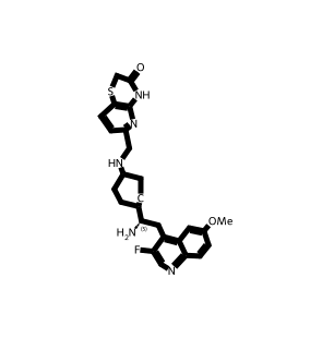 COc1ccc2ncc(F)c(C[C@H](N)C3CCC(NCc4ccc5c(n4)NC(=O)CS5)CC3)c2c1